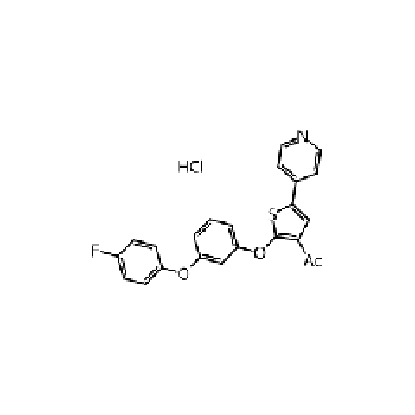 CC(=O)c1cc(-c2ccncc2)sc1Oc1cccc(Oc2ccc(F)cc2)c1.Cl